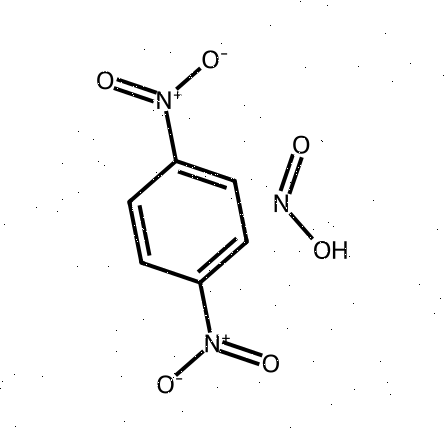 O=NO.O=[N+]([O-])c1ccc([N+](=O)[O-])cc1